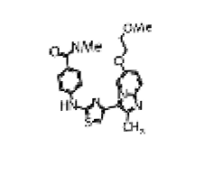 CNC(=O)c1ccc(Nc2nc(-c3c(C)nc4ccc(OCCOC)cn34)cs2)cc1